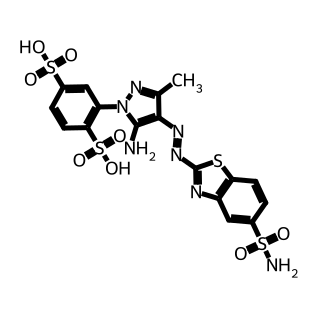 Cc1nn(-c2cc(S(=O)(=O)O)ccc2S(=O)(=O)O)c(N)c1/N=N/c1nc2cc(S(N)(=O)=O)ccc2s1